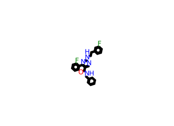 O=C(NCC1=CC=CCC1)c1cnc(NCCc2cccc(F)c2)nc1-c1ccccc1F